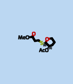 COC(=O)CCS[C@@H]1OCCC[C@@H]1OC(C)=O